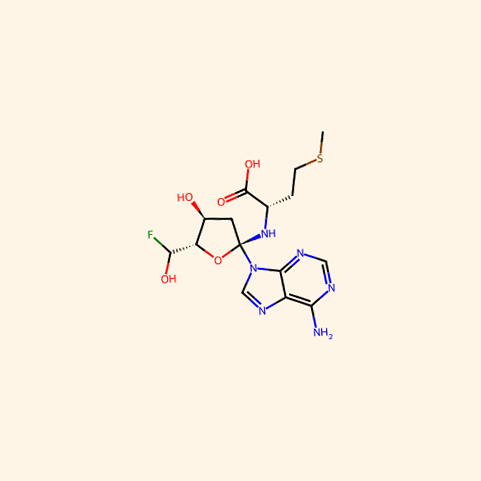 CSCC[C@H](N[C@]1(n2cnc3c(N)ncnc32)C[C@H](O)[C@@H](C(O)F)O1)C(=O)O